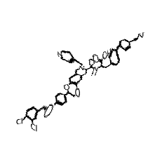 N#Cc1ccc(-c2ccc(CC(NC(=O)C3Cc4cc5c(cc4CN3Cc3ccncc3)OC(c3ccc(OCc4ccc(Cl)c(Cl)c4)cc3)CO5)C(=O)O)cc2)cc1